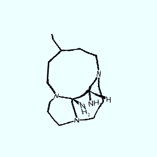 CC1CCN2CCN3CCN(CC1)[C@]3(N)[C@H]2N